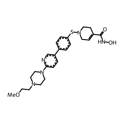 COCCN1CCN(c2ccc(-c3ccc(SN4CC=C(C(=O)NO)CC4)cc3)cn2)CC1